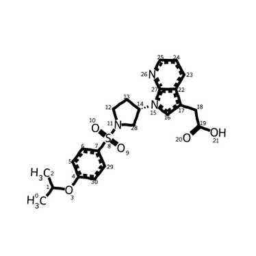 CC(C)Oc1ccc(S(=O)(=O)N2CC[C@H](n3cc(CC(=O)O)c4cccnc43)C2)cc1